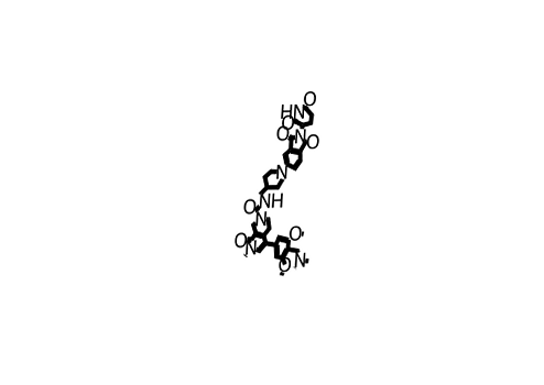 COc1cc(-c2cn(C)c(=O)c3c2CCN(C(=O)NCC2CCN(c4ccc5c(c4)C(=O)N(C4CCC(=O)NC4=O)C5=O)CC2)C3)cc(OC)c1CN(C)C